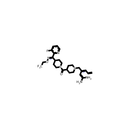 C=C/C=C(\C=C(N)N)CN1CCC(C(=O)N2CCC(/C(=N\OCC(F)(F)F)c3ncccc3F)CC2)CC1